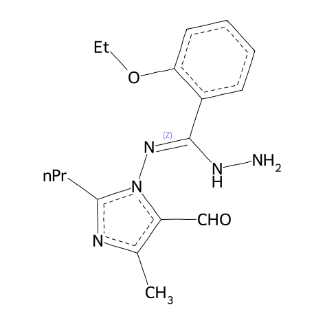 CCCc1nc(C)c(C=O)n1/N=C(\NN)c1ccccc1OCC